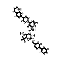 Cc1nc(NC[C@H](NC(=O)OCc2ccc(-c3ccccc3)cc2)C(O)CC(C)(C)C)c(C)c(N2CCC(c3ccc4c(n3)NCCC4)CC2)n1